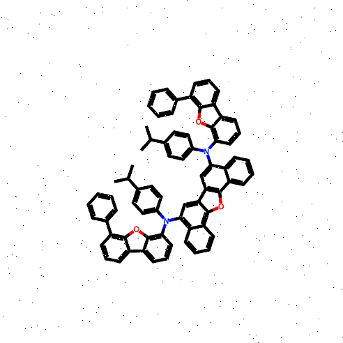 CC(C)c1ccc(N(c2cc3c4cc(N(c5ccc(C(C)C)cc5)c5cccc6c5oc5c(-c7ccccc7)cccc56)c5ccccc5c4oc3c3ccccc23)c2cccc3c2oc2c(-c4ccccc4)cccc23)cc1